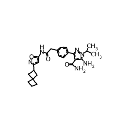 CC(C)n1nc(-c2ccc(CC(=O)Nc3cc(C4CC5(CCC5)C4)no3)cc2)c(C(N)=O)c1N